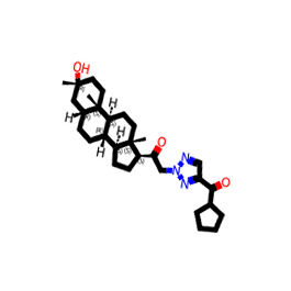 C[C@@]1(O)CC[C@@]2(C)[C@H](CC[C@@H]3[C@@H]2CC[C@]2(C)[C@@H](C(=O)Cn4ncc(C(=O)C5CCCC5)n4)CC[C@@H]32)C1